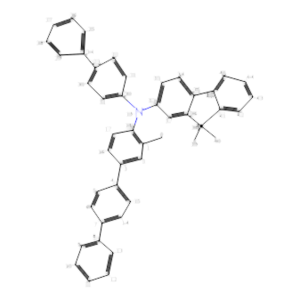 Cc1cc(-c2ccc(-c3ccccc3)cc2)ccc1N(c1ccc(-c2ccccc2)cc1)c1ccc2c(c1)C(C)(C)c1ccccc1-2